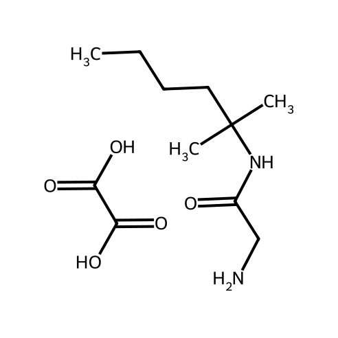 CCCCC(C)(C)NC(=O)CN.O=C(O)C(=O)O